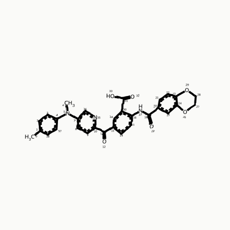 Cc1ccc(N(C)c2ccc(C(=O)c3ccc(NC(=O)c4ccc5c(c4)OCCO5)c(C(=O)O)c3)nc2)cc1